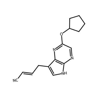 N#C/C=C/Cc1c[nH]c2ncc(OC3CCCC3)nc12